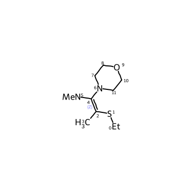 CCS/C(C)=C(/NC)N1CCOCC1